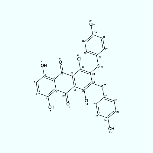 O=C1c2c(O)ccc(O)c2C(=O)c2c(Cl)c(Sc3ccc(O)cc3)c(Sc3ccc(O)cc3)c(Cl)c21